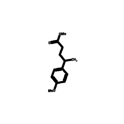 COC(=O)CCC(C)c1ccc(OC)cc1